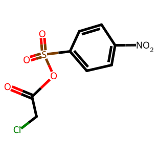 O=C(CCl)OS(=O)(=O)c1ccc([N+](=O)[O-])cc1